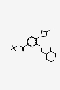 CCC(CC)(NC(=O)c1ccc(N2CC(OC)C2)c(OCC2CCOCC2F)n1)C(=O)O